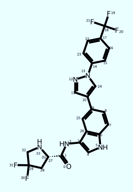 O=C(Nc1c[nH]c2ccc(-c3cnn(-c4ccc(C(F)(F)F)cc4)c3)cc12)[C@@H]1CC(F)(F)CN1